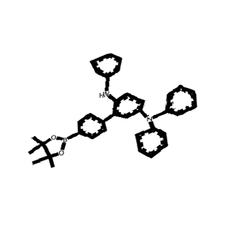 CC1(C)OB(c2ccc(-c3cc(N(c4ccccc4)c4ccccc4)ccc3Nc3ccccc3)cc2)OC1(C)C